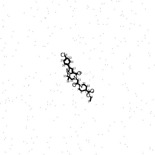 CCOC(=O)C1CCN(C(=O)CN2CC(C)(C)n3nc(-c4ccc(Cl)cc4)cc3C2=O)CC1